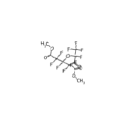 COC(=O)C(F)(F)C(F)(OC(F)(C(=O)F)C(F)(F)F)C(F)(F)C(=O)OC